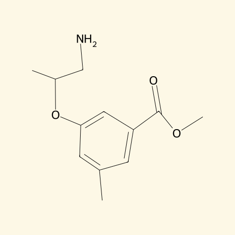 COC(=O)c1cc(C)cc(OC(C)CN)c1